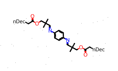 CCCCCCCCCCCC(=O)OCC(C)(C)/C=N/c1ccc(/N=C/C(C)(C)COC(=O)CCCCCCCCCCC)cc1